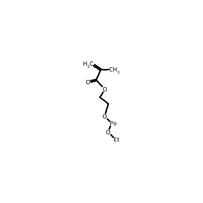 C=C(C)C(=O)OCC[O][Po][O]CC